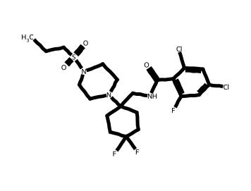 CCCS(=O)(=O)N1CCN(C2(CNC(=O)c3c(F)cc(Cl)cc3Cl)CCC(F)(F)CC2)CC1